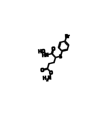 NOC(=O)CCC(Sc1ccc(Br)cc1)C(=O)NO